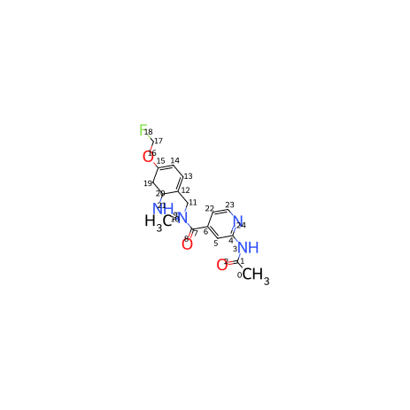 CC(=O)Nc1cc(C(=O)N(C)CC2=CC=C(OCF)CC2N)ccn1